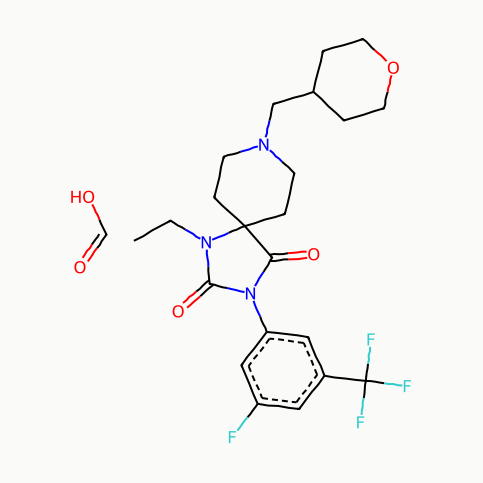 CCN1C(=O)N(c2cc(F)cc(C(F)(F)F)c2)C(=O)C12CCN(CC1CCOCC1)CC2.O=CO